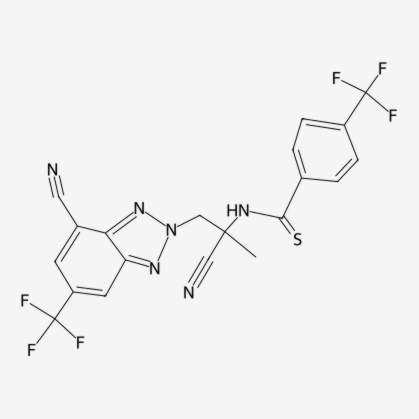 CC(C#N)(Cn1nc2cc(C(F)(F)F)cc(C#N)c2n1)NC(=S)c1ccc(C(F)(F)F)cc1